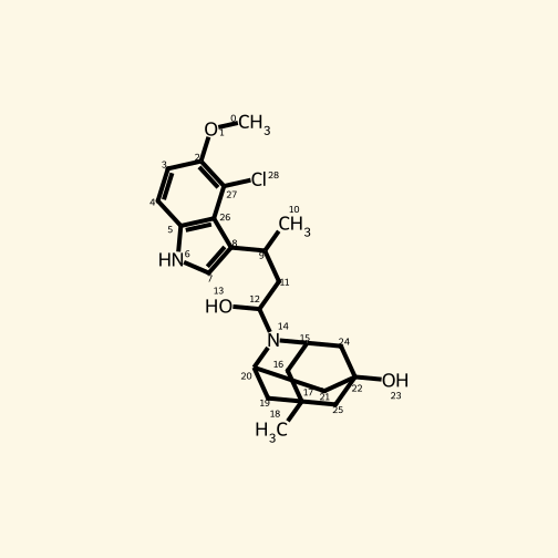 COc1ccc2[nH]cc(C(C)CC(O)N3C4CC5(C)CC3CC(O)(C4)C5)c2c1Cl